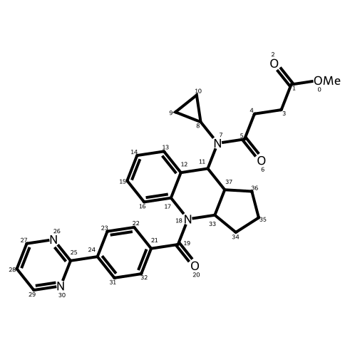 COC(=O)CCC(=O)N(C1CC1)C1c2ccccc2N(C(=O)c2ccc(-c3ncccn3)cc2)C2CCCC21